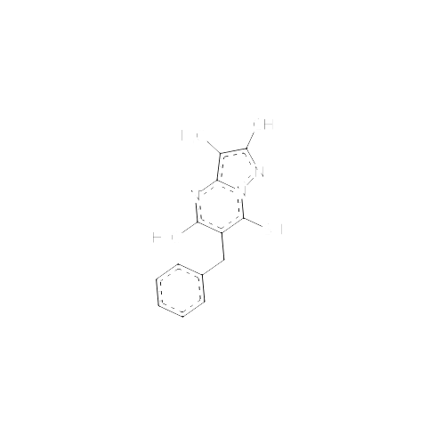 Cc1nc2c(C(F)(F)F)c(C)nn2c(S)c1Cc1ccccc1